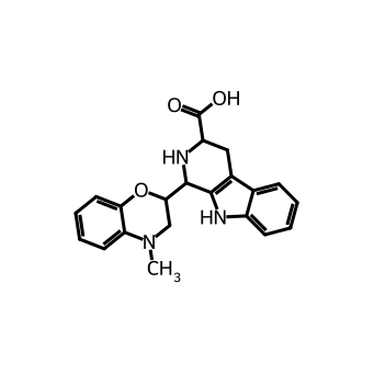 CN1CC(C2NC(C(=O)O)Cc3c2[nH]c2ccccc32)Oc2ccccc21